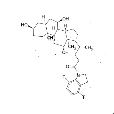 C[C@H](CCC(=O)N1CCc2c(F)ccc(F)c21)[C@H]1CC[C@H]2[C@@H]3[C@H](O)C[C@@H]4C[C@H](O)CC[C@]4(C)[C@H]3C[C@H](O)[C@]12C